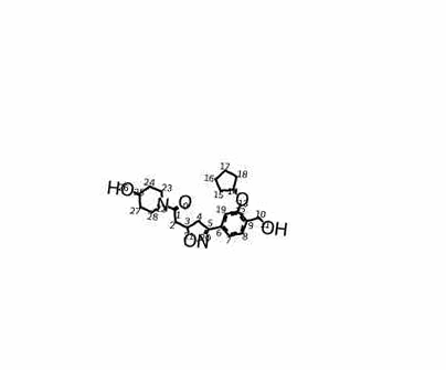 O=C(CC1CC(c2ccc(CO)c(OC3CCCC3)c2)=NO1)N1CCC(O)CC1